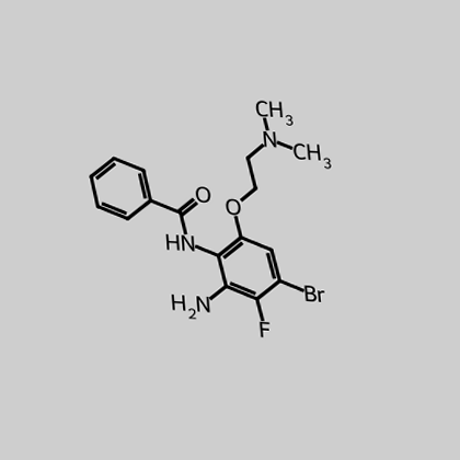 CN(C)CCOc1cc(Br)c(F)c(N)c1NC(=O)c1ccccc1